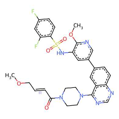 COC/C=C/C(=O)N1CCN(c2ncnc3ccc(-c4cnc(OC)c(NS(=O)(=O)c5ccc(F)cc5F)c4)cc23)CC1